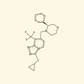 FC(F)(F)c1c(CN2CCOC[C@@H]2c2ccccc2)ccn2c(CC3CC3)nnc12